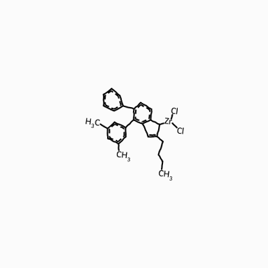 CCCCC1=Cc2c(ccc(-c3ccccc3)c2-c2cc(C)cc(C)c2)[CH]1[Zr]([Cl])[Cl]